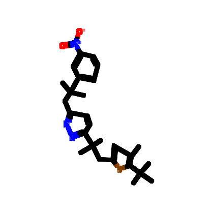 Cc1cc(CC(C)(C)c2ccc(CC(C)(C)c3cccc([N+](=O)[O-])c3)nn2)sc1C(C)(C)C